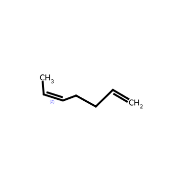 C=CCC/C=C\C